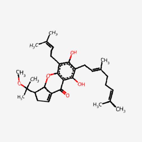 COC(C)(C)C1CC=C2C(=O)c3c(O)c(C/C=C(\C)CCC=C(C)C)c(O)c(CC=C(C)C)c3OC21